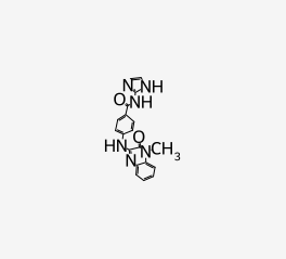 Cn1c(=O)c(Nc2ccc(C(=O)Nc3ncc[nH]3)cc2)nc2ccccc21